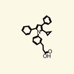 O=C(O)CCc1cccc(-n2c(-c3ccccc3)cc(-c3ccccc3)c2C2CC2)c1